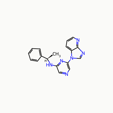 C[C@@H](Nc1cncc(-n2cnc3ncccc32)n1)c1ccccc1